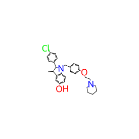 CC1c2cc(O)ccc2N(Cc2ccc(OCCN3CCCCC3)cc2)C1c1ccc(Cl)cc1